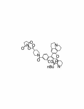 CCCCc1cc2c(c3c1=NCCC3)Oc1c(cc3c4c1CCCN4CCC3)C=2c1ccc(C(=O)N2CCC(C(=O)ON3C(=O)CCC3=O)CC2)cc1C(=O)O